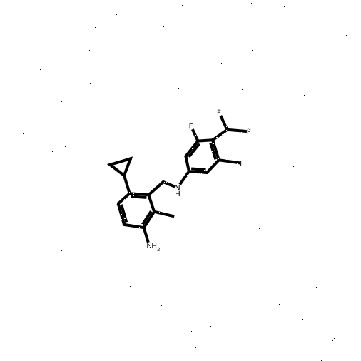 Cc1c(N)ccc(C2CC2)c1CNc1cc(F)c(C(F)F)c(F)c1